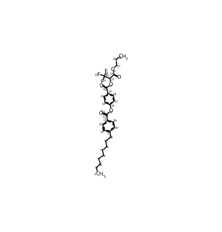 CCCCCCCCCc1ccc(C(=O)Oc2ccc(C(=O)OC(C(=O)OCCC)C(F)(F)F)cc2)cc1